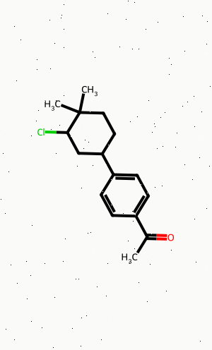 CC(=O)c1ccc(C2CCC(C)(C)C(Cl)C2)cc1